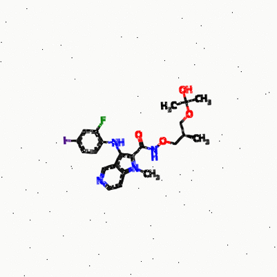 C[C@@H](CONC(=O)c1c(Nc2ccc(I)cc2F)c2cnccc2n1C)COC(C)(C)O